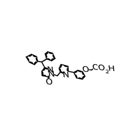 O=C(O)COc1cccc(-c2cccc(Cn3nc(C(c4ccccc4)c4ccccc4)ccc3=O)n2)c1